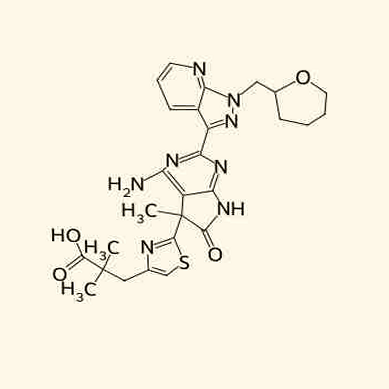 CC(C)(Cc1csc(C2(C)C(=O)Nc3nc(-c4nn(CC5CCCCO5)c5ncccc45)nc(N)c32)n1)C(=O)O